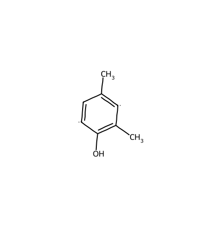 Cc1[c]c(C)c(O)[c]c1